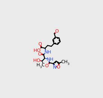 Cc1cc(C(=O)N[C@H](C(=O)NC(CCc2cccc(C=O)c2)C(=O)O)[C@@H](C)O)no1